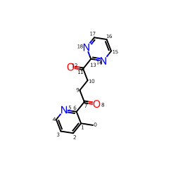 Cc1cccnc1C(=O)CCC(=O)c1ncccn1